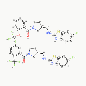 O=C(c1ccccc1C(F)(F)F)N1CC[C@@H](CNc2nc3ccc(F)cc3s2)C1.O=C(c1ccccc1OC(F)(F)F)N1CC[C@@H](CNc2nc3ccc(F)cc3s2)C1